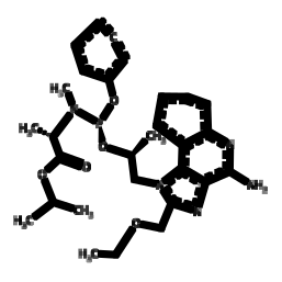 CCOCc1nc2c(N)nc3ccccc3c2n1C[C@H](C)O[P@](Oc1ccccc1)N(C)[C@@H](C)C(=O)OC(C)C